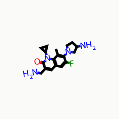 Cc1c(N2CCC(N)C2)c(F)cc2cc(CN)c(=O)n(C3CC3)c12